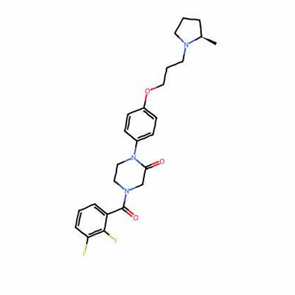 C[C@@H]1CCCN1CCCOc1ccc(N2CCN(C(=O)c3cccc(F)c3F)CC2=O)cc1